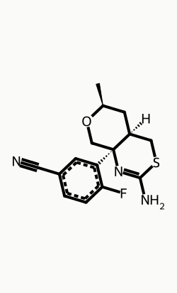 C[C@H]1C[C@H]2CSC(N)=N[C@@]2(c2cc(C#N)ccc2F)CO1